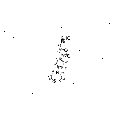 O=CNCC1CN(c2ccc(N3CCCSCCC3)c(F)c2)C(=O)O1